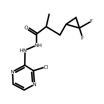 CC(CC1CC1(F)F)C(=O)NNc1nccnc1Cl